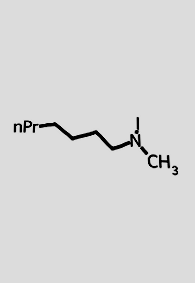 CCCCCCCN(C)I